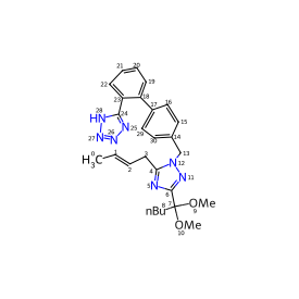 CC=CCc1nc(C(CCCC)(OC)OC)nn1Cc1ccc(-c2ccccc2-c2nnn[nH]2)cc1